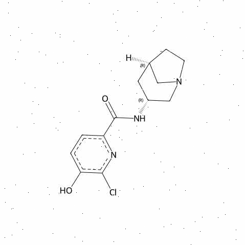 O=C(N[C@@H]1C[C@H]2CCN(C2)C1)c1ccc(O)c(Cl)n1